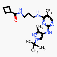 Cc1nn(C(C)(C)C#N)cc1Nc1ncc(C(F)(F)F)c(NCCCNC(=O)C2CCC2)n1